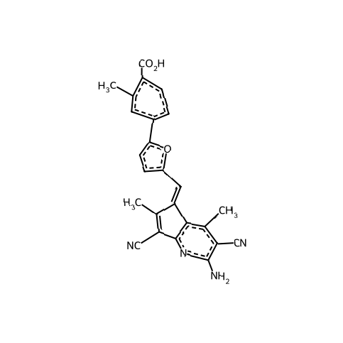 CC1=C(C#N)c2nc(N)c(C#N)c(C)c2/C1=C/c1ccc(-c2ccc(C(=O)O)c(C)c2)o1